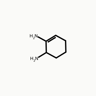 NC1=CCCCC1N